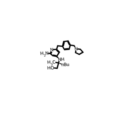 CCCC[C@](C)(CO)Nc1cc(N)nc(Cc2ccc(CN3CCCC3)cc2)c1